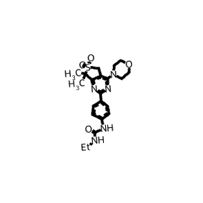 CCNC(=O)Nc1ccc(-c2nc(N3CCOCC3)c3c(n2)C(C)(C)S(=O)(=O)C3)cc1